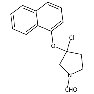 O=CN1CCC(Cl)(Oc2cccc3ccccc23)C1